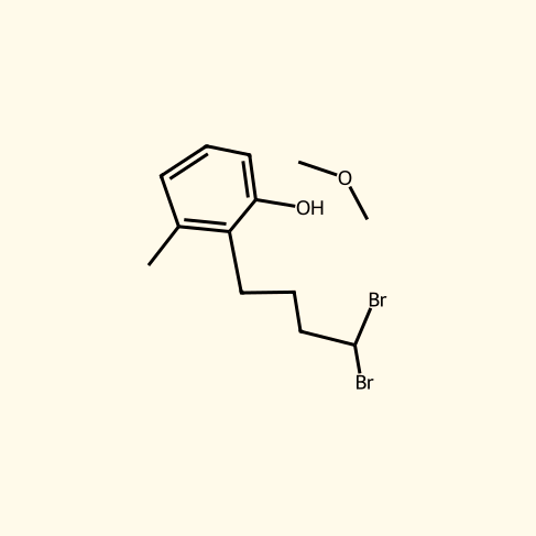 COC.Cc1cccc(O)c1CCCC(Br)Br